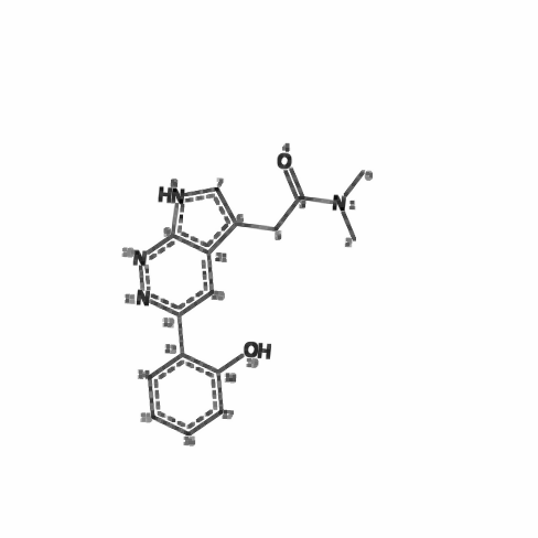 CN(C)C(=O)Cc1c[nH]c2nnc(-c3ccccc3O)cc12